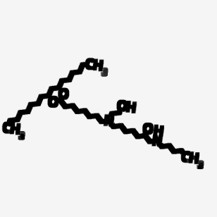 CCCCCCCCC(CCCCCCCC)OC(=O)CCCCCCCN(CCO)CCCCCC(=O)CNCCCCC